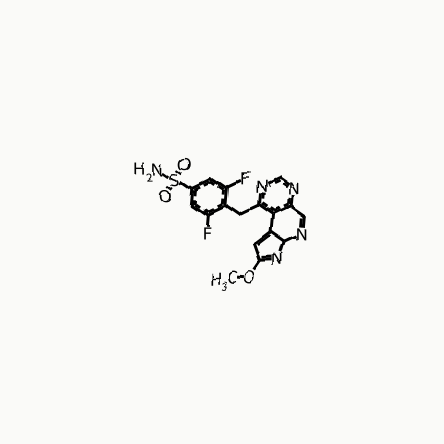 COC1=NC2N=Cc3ncnc(Cc4c(F)cc(S(N)(=O)=O)cc4F)c3C2=C1